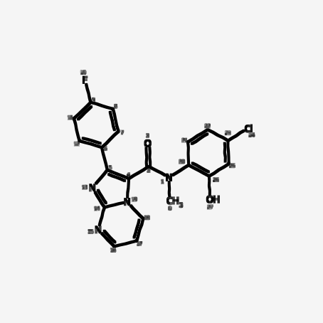 CN(C(=O)c1c(-c2ccc(F)cc2)nc2ncccn12)c1ccc(Cl)cc1O